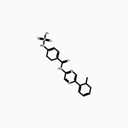 CC1CC=CC=C1c1cnc(NC(=O)C2=CC=C(NS(=O)(=O)C(C)C)CC2)cn1